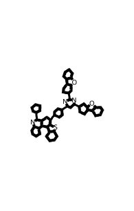 c1ccc(-c2nc3ccccc3c3c2cc(-c2ccc(-c4cc(-c5ccc6c(c5)oc5ccccc56)nc(-c5ccc6c(c5)oc5ccccc56)n4)cc2)c2sc4ccccc4c23)cc1